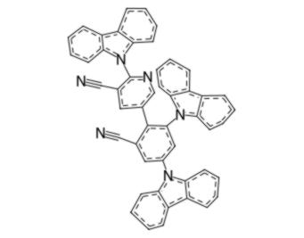 N#Cc1cc(-c2c(C#N)cc(-n3c4ccccc4c4ccccc43)cc2-n2c3ccccc3c3ccccc32)cnc1-n1c2ccccc2c2ccccc21